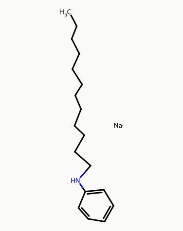 CCCCCCCCCCCCNc1ccccc1.[Na]